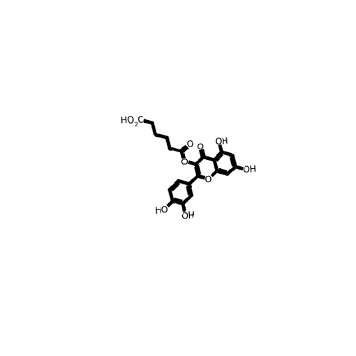 O=C(O)CCCCC(=O)Oc1c(-c2ccc(O)c(O)c2)oc2cc(O)cc(O)c2c1=O